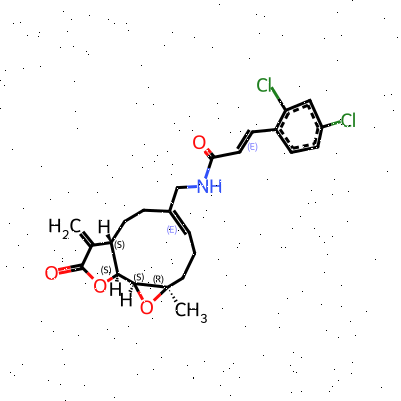 C=C1C(=O)O[C@H]2[C@H]1CC/C(CNC(=O)/C=C/c1ccc(Cl)cc1Cl)=C\CC[C@@]1(C)O[C@@H]21